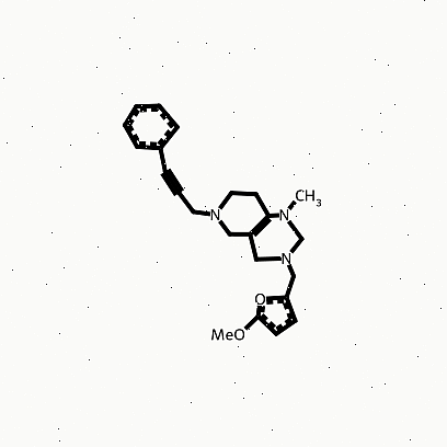 COc1ccc(CN2CC3=C(CCN(CC#Cc4ccccc4)C3)N(C)C2)o1